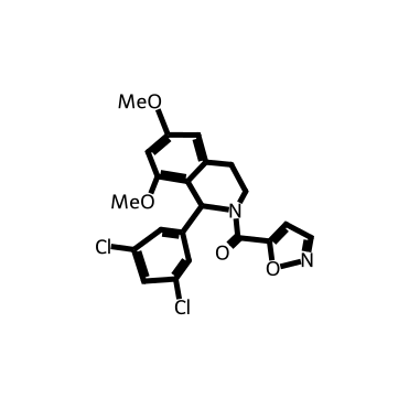 COc1cc2c(c(OC)c1)C(c1cc(Cl)cc(Cl)c1)N(C(=O)c1ccno1)CC2